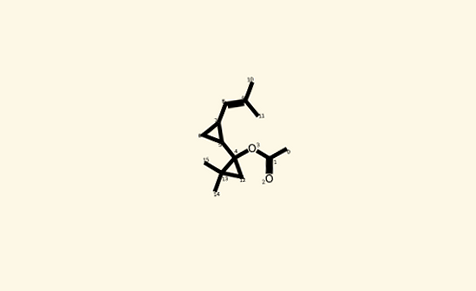 CC(=O)OC1(C2CC2C=C(C)C)CC1(C)C